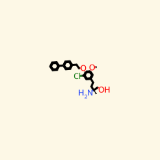 COc1cc(CC[C@@](C)(N)CO)cc(Cl)c1OCCc1ccc(-c2ccccc2)cc1